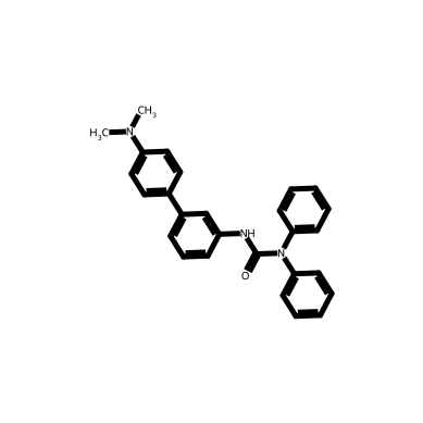 CN(C)c1ccc(-c2cccc(NC(=O)N(c3ccccc3)c3ccccc3)c2)cc1